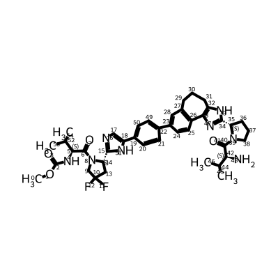 COC(=O)N[C@H](C(=O)N1CC(F)(F)C[C@H]1c1ncc(-c2ccc(-c3ccc4c(c3)CCCc3[nH]c([C@@H]5CCCN5C(=O)[C@@H](N)C(C)C)nc3-4)cc2)[nH]1)C(C)C